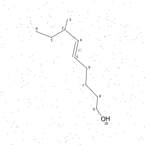 CCC(C)/C=C/CCCCO